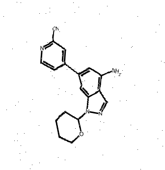 N#Cc1cc(-c2cc(N)c3cnn(C4CCCCO4)c3c2)ccn1